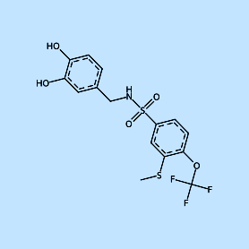 CSc1cc(S(=O)(=O)NCc2ccc(O)c(O)c2)ccc1OC(F)(F)F